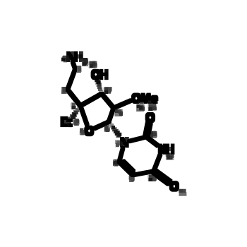 CC[C@@]1(CCN)O[C@@H](n2ccc(=O)[nH]c2=O)C(OC)[C@H]1O